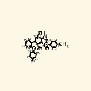 Cc1ccc(S(=O)(=O)n2ccc3c(-c4cccnc4Oc4ccc(F)cc4)cn(C)c(=O)c32)cc1